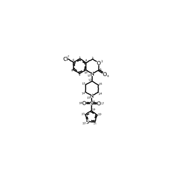 O=C1OCc2cc(Cl)ccc2N1C1CCN(S(=O)(=O)c2ccsc2)CC1